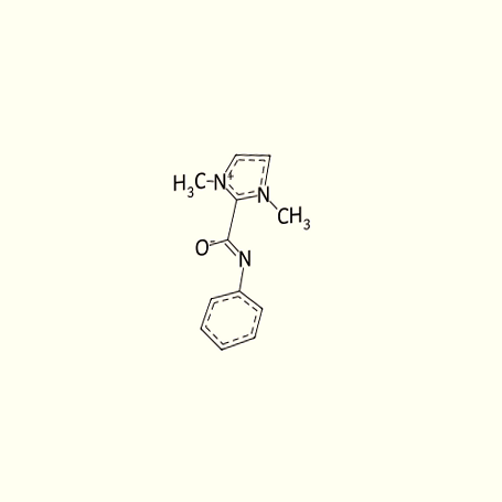 Cn1cc[n+](C)c1/C([O-])=N/c1ccccc1